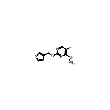 NNc1nc(OCc2ccsc2)ncc1F